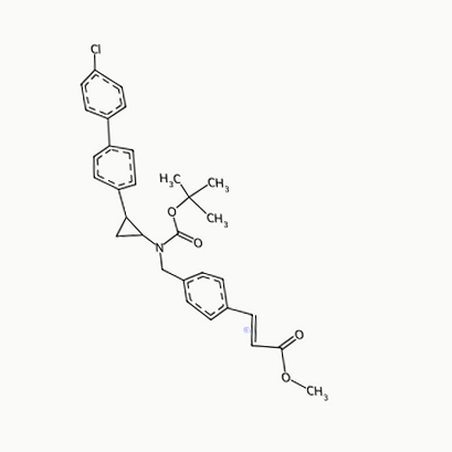 COC(=O)/C=C/c1ccc(CN(C(=O)OC(C)(C)C)C2CC2c2ccc(-c3ccc(Cl)cc3)cc2)cc1